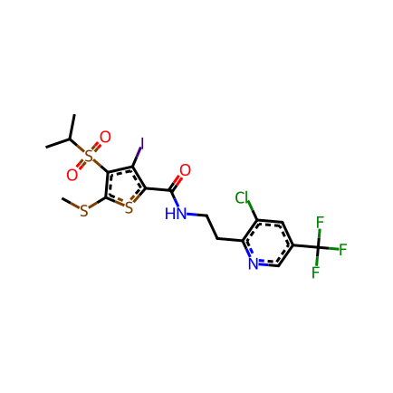 CSc1sc(C(=O)NCCc2ncc(C(F)(F)F)cc2Cl)c(I)c1S(=O)(=O)C(C)C